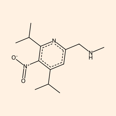 CNCc1cc(C(C)C)c([N+](=O)[O-])c(C(C)C)n1